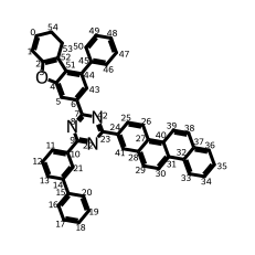 C1=Cc2oc3cc(-c4nc(-c5cccc(-c6ccccc6)c5)nc(-c5ccc6c(ccc7c8ccccc8ccc67)c5)n4)cc(-c4ccccc4)c3c2CC1